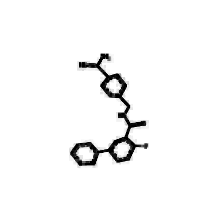 N=C(N)c1ccc(CNC(=O)c2cc(-c3ccccc3)ccc2F)cc1